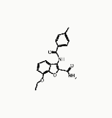 CCOc1cccc2c(NC(=O)c3ccc(C)cc3)c(C(N)=O)oc12